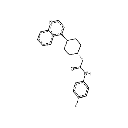 O=C(C[C@H]1CC[C@H](c2ccnc3ccccc32)CC1)Nc1ccc(F)cc1